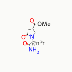 CCC[C@@H](C(N)=O)N1CC(C(=O)OC)CC1=O